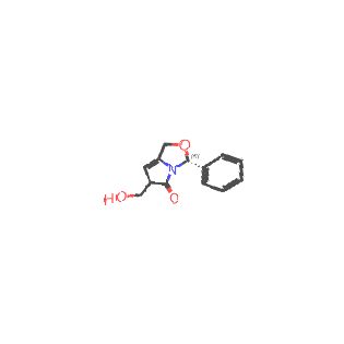 O=C1C(CO)C=C2CO[C@H](c3ccccc3)N12